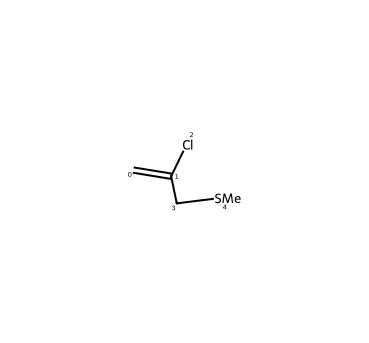 C=C(Cl)CSC